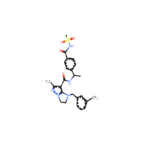 CC(NC(=O)c1c(C(F)(F)F)nn2c1N(Cc1cccc(C(F)(F)F)c1)CC2)c1ccc(C(=O)NS(C)(=O)=O)cc1